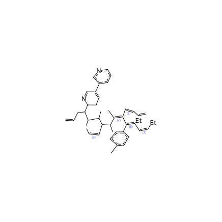 C=C\C=C/C(=C(\C)C(C)C(/C=C\C)C(C)C(C)C(CC=C)C1CC=C(c2cccnc2)C=N1)C(=C(/C=C\CC)CC)/c1ccc(C)cc1